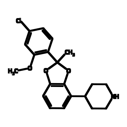 COc1cc(Cl)ccc1C1(C)Oc2cccc(C3CCNCC3)c2O1